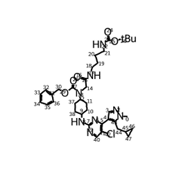 Cn1ncc(-c2nc(NC3CCC(N(CC(=O)NCCCCNC(=O)OC(C)(C)C)C(=O)OCc4ccccc4)CC3)ncc2Cl)c1CC1CC1